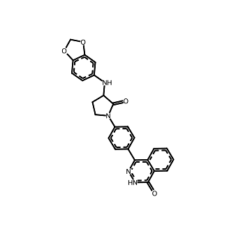 O=C1C(Nc2ccc3c(c2)OCO3)CCN1c1ccc(-c2n[nH]c(=O)c3ccccc23)cc1